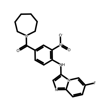 O=C(c1ccc(Nc2cnc3ccc(F)cn23)c([N+](=O)[O-])c1)N1CCCCCC1